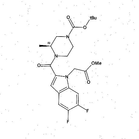 COC(=O)Cn1c(C(=O)N2CCN(C(=O)OC(C)(C)C)C[C@@H]2C)cc2cc(F)c(F)cc21